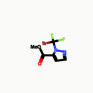 COC(=O)c1ccnn1C(F)(F)Br